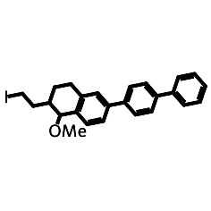 COC1c2ccc(-c3ccc(-c4ccccc4)cc3)cc2CCC1CCI